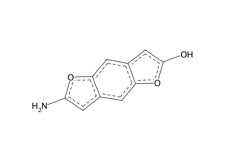 Nc1cc2cc3oc(O)cc3cc2o1